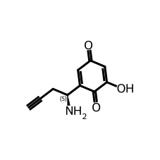 C#CC[C@H](N)C1=CC(=O)C=C(O)C1=O